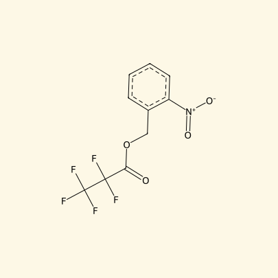 O=C(OCc1ccccc1[N+](=O)[O-])C(F)(F)C(F)(F)F